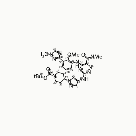 CNC(=O)c1nnc(Nc2cnn(C3CCN(C(=O)OC(C)(C)C)CC3)c2)nc1Nc1cccc(-c2ncn(C)n2)c1OC